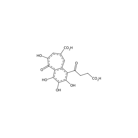 O=C(O)CCC(=O)c1c(O)c(O)c(O)c2c(=O)c(O)cc(C(=O)O)cc12